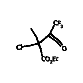 CCOC(=O)C(C)(Cl)C(=O)C(F)(F)F